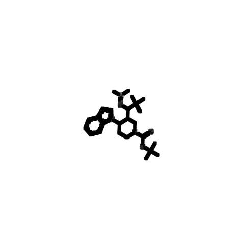 C[SiH](C)OC(C1CN(C(=O)OC(C)(C)C)CCC1n1ccc2ccccc21)C(C)(C)C